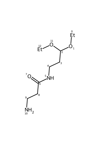 CCOC(CCNC(=O)CCN)OCC